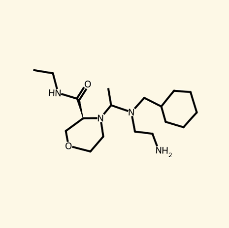 CCNC(=O)[C@@H]1COCCN1C(C)N(CCN)CC1CCCCC1